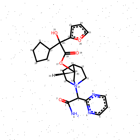 NC(=O)C(c1ncccn1)[N+]12CCC(CC1)[C@@H](OC(=O)C(O)(c1ccco1)C1CCCC1)C2